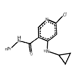 CCCNC(=O)c1cnc(Cl)cc1NC1CC1